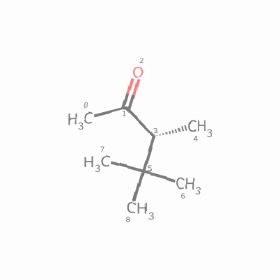 CC(=O)[C@H](C)C(C)(C)C